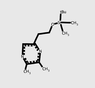 Cc1ncc(CCO[Si](C)(C)C(C)(C)C)nc1C